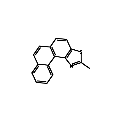 Cc1nc2c(ccc3ccc4ccccc4c32)s1